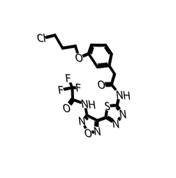 O=C(Cc1cccc(OCCCCl)c1)Nc1nnc(-c2nonc2NC(=O)C(F)(F)F)s1